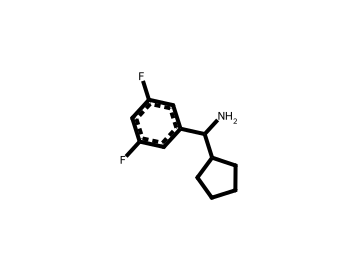 NC(c1cc(F)cc(F)c1)C1CCCC1